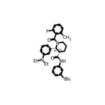 CCN(CC)c1cccc([C@H]2[C@@H](C(=O)Nc3cccc(C(C)(C)C)c3)CCCN2C(=O)c2c(C)cccc2F)c1